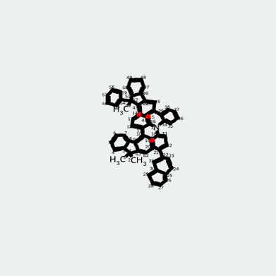 CC1(C)c2ccccc2-c2c(-c3ccccc3N(c3ccc(-c4ccc5ccccc5c4)cc3)c3ccccc3-c3ccc4c(c3)-c3ccccc3C4(C)c3ccccc3)cccc21